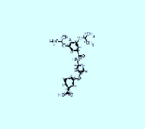 CC(C)Oc1cc(OC(C)C)cc(C(=O)Nc2ncc(Oc3cccc(C(=O)O)c3)s2)c1